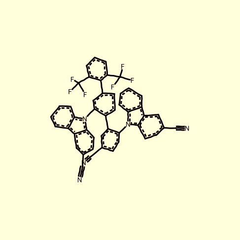 N#Cc1ccc(-n2c3ccccc3c3cc(C#N)ccc32)c(-c2ccc(-c3c(C(F)(F)F)cccc3C(F)(F)F)cc2-n2c3ccccc3c3cc(C#N)ccc32)c1